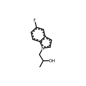 CC(O)Cn1ccc2cc(F)ccc21